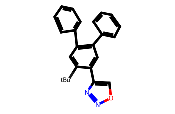 CC(C)(C)c1cc(-c2ccccc2)c(-c2ccccc2)cc1-c1conn1